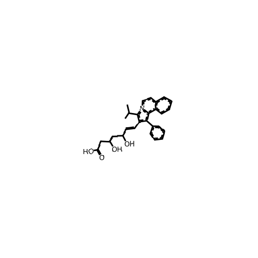 CC(C)c1c(/C=C/C(O)CC(O)CC(=O)O)c(-c2ccccc2)c2c3ccccc3ccn12